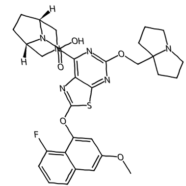 COc1cc(Oc2nc3c(N4C[C@H]5CC[C@@H](C4)N5C(=O)O)nc(OCC45CCCN4CCC5)nc3s2)c2c(F)cccc2c1